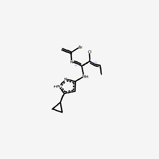 C=C(Br)/N=C(Nc1cc(C2CC2)[nH]n1)\C(Cl)=C/C